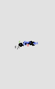 O=C(Nc1cn(Cc2cc(F)cc(C(F)(F)F)c2)cn1)c1ccc2c(c1)CCNC2